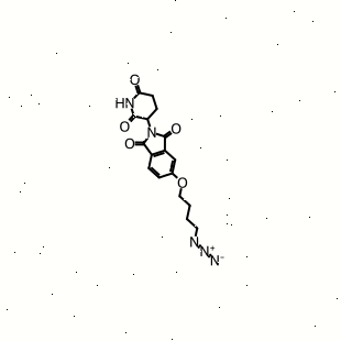 [N-]=[N+]=NCCCCOc1ccc2c(c1)C(=O)N(C1CCC(=O)NC1=O)C2=O